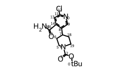 CC(C)(C)OC(=O)N1CCC(c2cnc(Cl)cc2C(N)=O)CC1